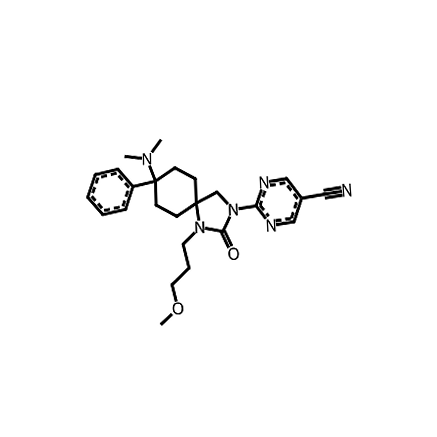 COCCCN1C(=O)N(c2ncc(C#N)cn2)CC12CCC(c1ccccc1)(N(C)C)CC2